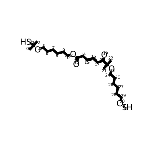 CC(C)(S)OCCCCCCOC(=O)CCCCC(=O)C(C)(C)OCCCCCCOS